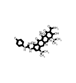 CN(C)c1cc(NC(=N)Nc2ccc(F)cc2)c(O)c2c1C[C@H]1C[C@H]3[C@@H](N(C)C)C(O)=C(C(N)=O)C(=O)[C@@]3(O)C(O)=C1C2=O